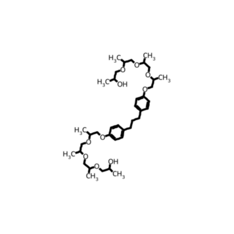 CC(O)COC(C)COC(C)COC(C)COc1ccc(CCCc2ccc(OCC(C)OCC(C)OCC(C)OCC(C)O)cc2)cc1